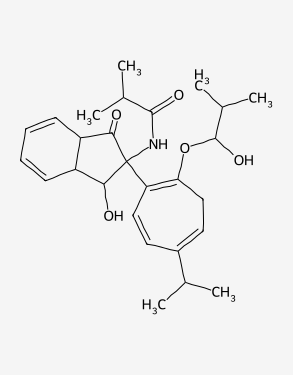 CC(C)C(=O)NC1(C2=C(OC(O)C(C)C)CC=C(C(C)C)C=C2)C(=O)C2C=CC=CC2C1O